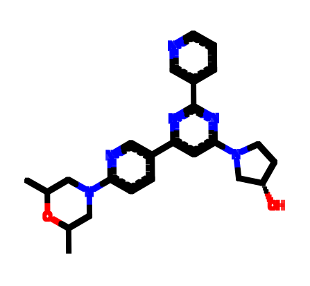 CC1CN(c2ccc(-c3cc(N4CC[C@H](O)C4)nc(-c4cccnc4)n3)cn2)CC(C)O1